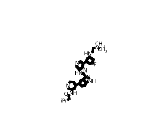 CC(C)CC(=O)NC1=CC(c2ccc3[nH]nc(-c4nc5c(-c6cc(F)cc(NCCN(C)C)c6)cncc5[nH]4)c3c2)=CCN=C1